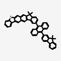 CC1(C)c2ccccc2-c2ccc(-c3c4ccccc4c(-c4ccc5c(c4)-c4cc6cc7c(cc6cc4C5(C)C)sc4ccccc47)c4ccccc34)cc21